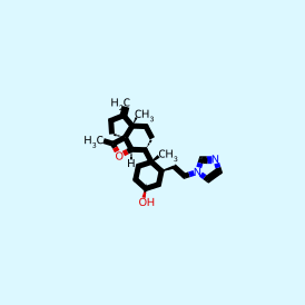 C=C1CC[C@@]23C(C)O[C@@H]2[C@@H]([C@@]2(C)CC[C@H](O)C[C@@H]2CCn2ccnc2)CC[C@]13C